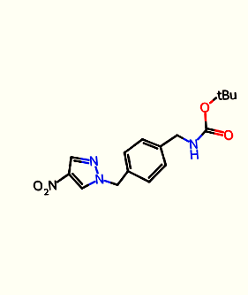 CC(C)(C)OC(=O)NCc1ccc(Cn2cc([N+](=O)[O-])cn2)cc1